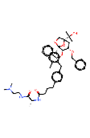 Cc1ccc([C@@]23OC[C@@](C(C)(C)O)(C[C@H](OCc4ccccc4)[C@H]2OCc2ccccc2)O3)cc1Cc1ccc(CCCC(=O)N[C@H](C)C(=O)NCCN(C)C)cc1